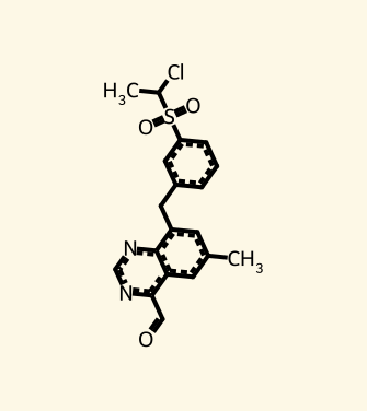 Cc1cc(Cc2cccc(S(=O)(=O)C(C)Cl)c2)c2ncnc(C=O)c2c1